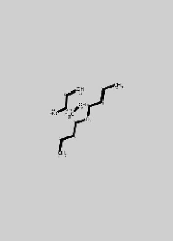 CCCCOCCCC.CO.OCCO